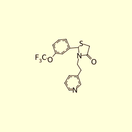 O=C1CSC(c2cccc(OC(F)(F)F)c2)N1CCc1cccnc1